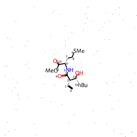 C=C[C@H](C(=O)N[C@@H](CCSC)C(=O)OC)[C@H](O)CCCC